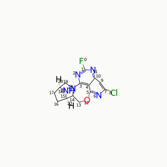 Fc1nc2c3c(nc(Cl)cc3n1)OCC1[C@H]3CC[C@@H](CN21)N3